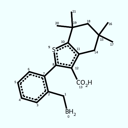 BCc1ccccc1-c1sc2c(c1C(=O)O)CC(C)(C)CC2(C)C